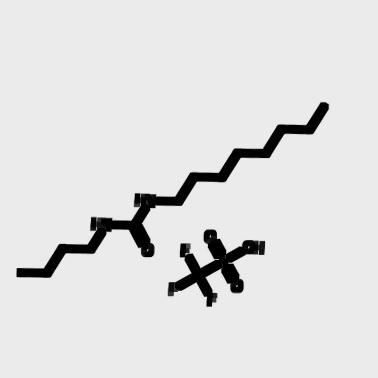 CCCCCCCCNC(=O)NCCCC.O=S(=O)(O)C(F)(F)F